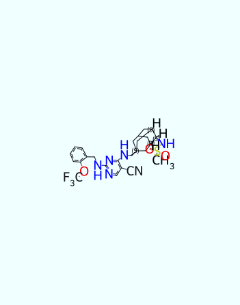 CS(=O)(=O)N[C@@H]1[C@@H]2CC3C[C@H]1C[C@@](CNc1nc(NCc4ccccc4OC(F)(F)F)ncc1C#N)(C3)C2